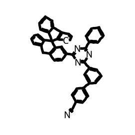 N#Cc1ccc(-c2cccc(-c3nc(-c4ccccc4)nc(-c4ccc5c(c4)C4(C6=C(C=CCC6)c6ccccc64)c4ccccc4C5)n3)c2)cc1